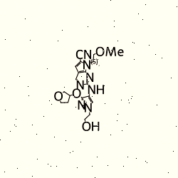 COC[C@H](C)n1c(C#N)cc2cnc(Nc3cn(CCO)nc3OC3CCOC3)nc21